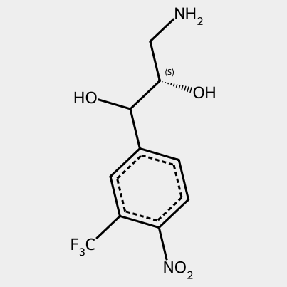 NC[C@H](O)C(O)c1ccc([N+](=O)[O-])c(C(F)(F)F)c1